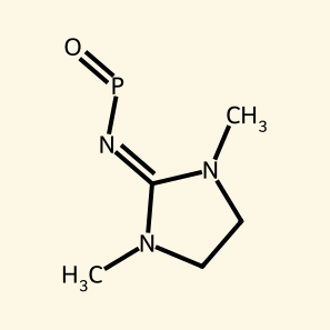 CN1CCN(C)C1=NP=O